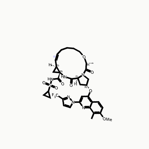 COc1ccc2c(O[C@@H]3C[C@H]4C(=O)N[C@]5(C(=O)NS(=O)(=O)C6CC6)C[C@H]5/C=C\CCCCO[C@H](C)C(=O)N4C3)cc(-n3ccc(C(F)(F)F)n3)nc2c1C